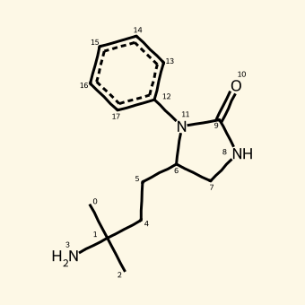 CC(C)(N)CCC1CNC(=O)N1c1ccccc1